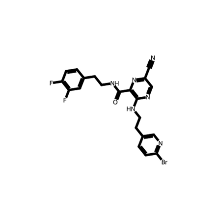 N#Cc1cnc(NCCc2ccc(Br)nc2)c(C(=O)NCCc2ccc(F)c(F)c2)n1